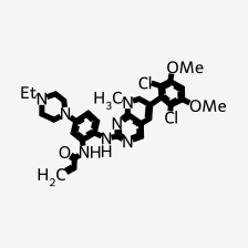 C=CC(=O)Nc1cc(N2CCN(CC)CC2)ccc1Nc1ncc2c(n1)N(C)CC(c1c(Cl)c(OC)cc(OC)c1Cl)=C2